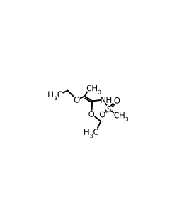 CCO/C(C)=C(/NS(C)(=O)=O)OCC